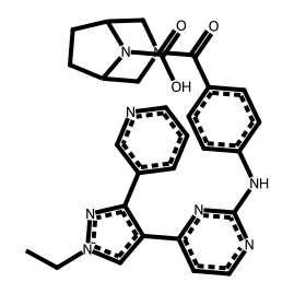 CCn1cc(-c2ccnc(Nc3ccc(C(=O)N4CC5CCC(C4)N5C(=O)O)cc3)n2)c(-c2cccnc2)n1